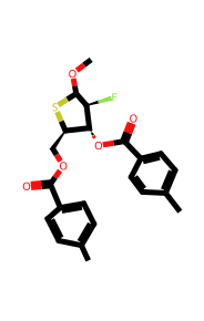 COC1S[C@H](COC(=O)c2ccc(C)cc2)[C@@H](OC(=O)c2ccc(C)cc2)[C@@H]1F